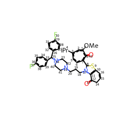 COc1cc(C(C)C)ccc(C2SC3=C(C(=O)CC=C3)N2CCCN2CCN(C(c3ccc(F)cc3)c3ccc(F)cc3)CC2)c1=O